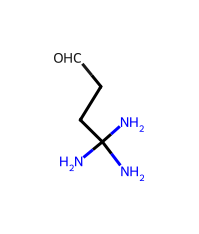 NC(N)(N)CCC=O